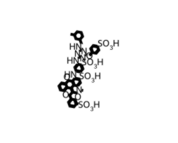 CC1CCCC(CNc2nc(Nc3cc(Nc4ccc5c6c4C(=O)c4ccccc4-c6c(C(=O)c4cccc(S(=O)(=O)O)c4)c(=O)n5C)c(S(=O)(=O)O)cc3S(=O)(=O)O)nc(Oc3ccc(S(=O)(=O)O)cc3)n2)C1